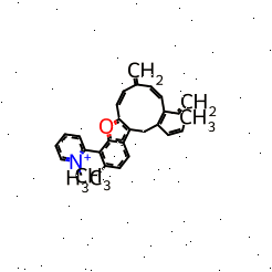 C=CC1=C(\C=C/C)Cc2c(oc3c(-c4cccc[n+]4C)c(C)ccc23)/C=C\C(=C)/C=C\1